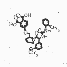 COc1cccc(C(NC(=O)Nc2ccccc2C)C(=O)N2CCC[C@H]2COc2ccc(C(=O)O)c(C(=O)O)c2)c1